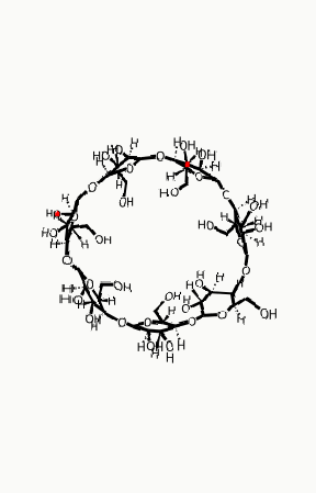 OC[C@H]1OC2O[C@H]3[C@H](O)[C@@H](O)C(O[C@H]4[C@H](O)[C@@H](O)C(O[C@H]5[C@H](O)[C@@H](O)C(O[C@H]6[C@H](O)[C@@H](O)C(O[C@H]7[C@H](O)[C@@H](O)C(O[C@H]8[C@H](O)[C@@H](O)C(C[C@H]1[C@H](O)[C@H]2O)O[C@@H]8CO)O[C@@H]7CO)O[C@@H]6CO)O[C@@H]5CO)O[C@@H]4CO)O[C@@H]3CO